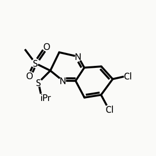 CC(C)SC1(S(C)(=O)=O)CN=c2cc(Cl)c(Cl)cc2=N1